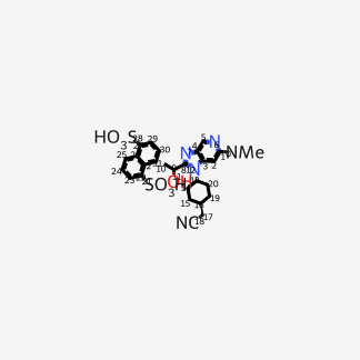 CNc1cc2c(cn1)nc(C(C)O)n2[C@H]1CC[C@H](CC#N)CC1.O=S(=O)(O)c1cccc2c(S(=O)(=O)O)cccc12